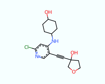 OC1CCC(Nc2cc(Cl)ncc2C#CC2(O)CCOC2)CC1